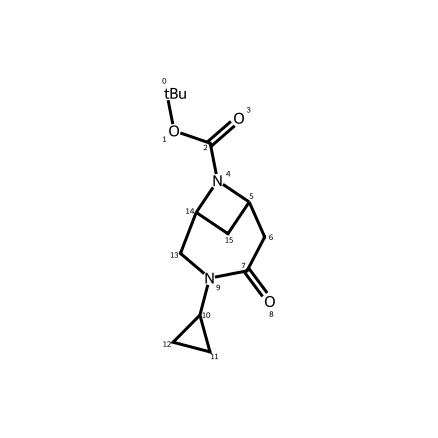 CC(C)(C)OC(=O)N1C2CC(=O)N(C3CC3)CC1C2